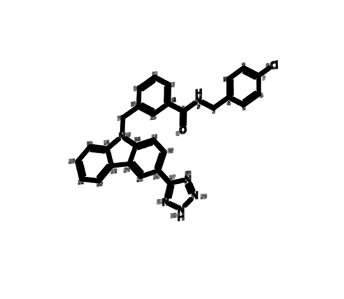 O=C(NCc1ccc(Cl)cc1)c1cccc(Cn2c3ccccc3c3cc(-c4nn[nH]n4)ccc32)c1